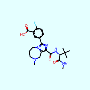 CNC(=O)[C@@H](NC(=O)c1nc(-c2ccc(F)c(C(=O)O)c2)n2c1CN(C)CCC2)C(C)(C)C